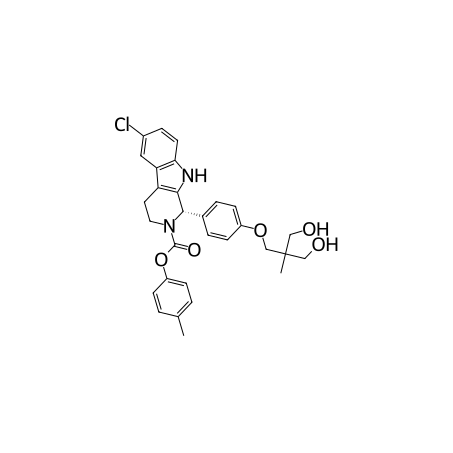 Cc1ccc(OC(=O)N2CCc3c([nH]c4ccc(Cl)cc34)[C@@H]2c2ccc(OCC(C)(CO)CO)cc2)cc1